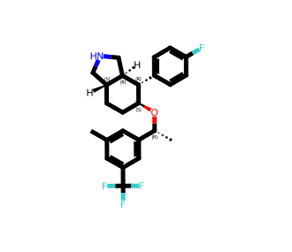 Cc1cc([C@@H](C)O[C@H]2CC[C@@H]3CNC[C@H]3[C@@H]2c2ccc(F)cc2)cc(C(F)(F)F)c1